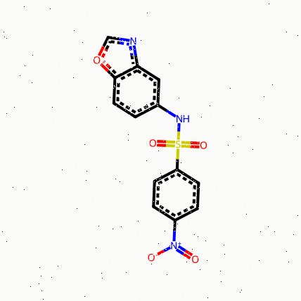 O=[N+]([O-])c1ccc(S(=O)(=O)Nc2ccc3ocnc3c2)cc1